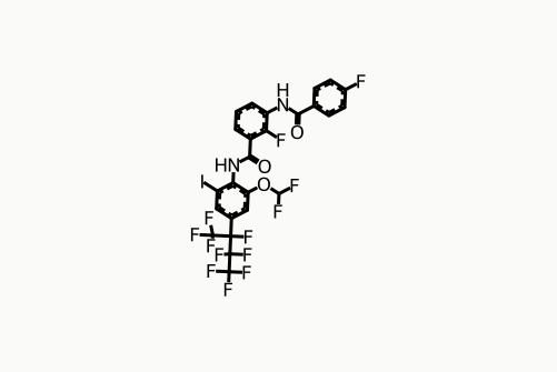 O=C(Nc1cccc(C(=O)Nc2c(I)cc(C(F)(C(F)(F)F)C(F)(F)C(F)(F)F)cc2OC(F)F)c1F)c1ccc(F)cc1